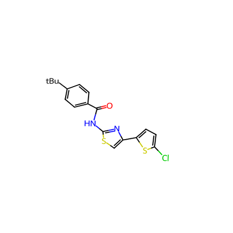 CC(C)(C)c1ccc(C(=O)Nc2nc(-c3ccc(Cl)s3)cs2)cc1